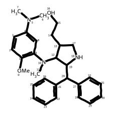 COc1ccc(N(C)C)cc1N(C)C1C(CCO)CNC1C(c1ccccc1)c1ccccc1